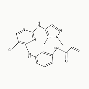 C=CC(=O)Nc1cccc(Nc2nc(Nc3cnn(C)c3C)ncc2Cl)c1